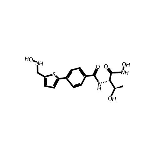 C[C@@H](O)[C@H](NC(=O)c1ccc(-c2ccc(CNO)s2)cc1)C(=O)NO